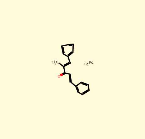 O=C(C=Cc1ccccc1)C(=Cc1ccccc1)C(Cl)(Cl)Cl.[Pd].[Pd]